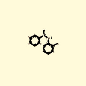 Cc1ccccc1NN(C)c1ccccc1